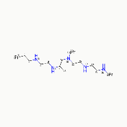 CC(C)CCNCCNC(C)CN(CCNCCNC(C)C)C(C)C